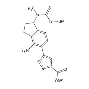 COC(=O)c1cc(-c2ccc3c(c2N)CCC3N(C)C(=O)OC(C)(C)C)sn1